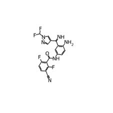 N#Cc1ccc(F)c(C(=O)Nc2ccc(N)c(C(=N)c3cnn(C(F)F)c3)c2)c1F